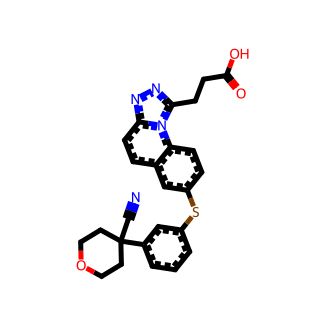 N#CC1(c2cccc(Sc3ccc4c(ccc5nnc(CCC(=O)O)n54)c3)c2)CCOCC1